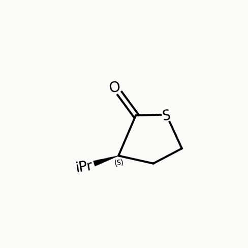 CC(C)[C@@H]1CCSC1=O